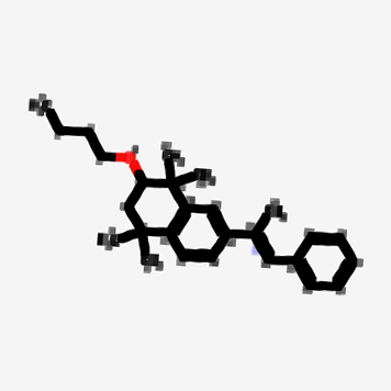 CCCCOC1CC(C)(C)c2ccc(/C(C)=C/c3ccccc3)cc2C1(C)C